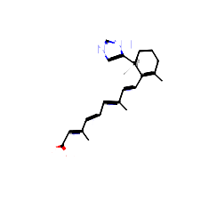 CC1=C(/C=C/C(C)=C/C=C/C(C)=C/C(=O)O)[C@](C)(c2cnc[nH]2)CCC1